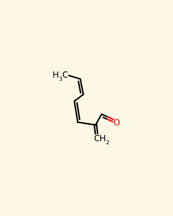 C=C(C=O)/C=C\C=C/C